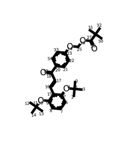 CC(C)(C)Oc1cccc(OC(C)(C)C)c1/C=C/C(=O)c1ccc(OCOC(=O)C(C)(C)C)cc1